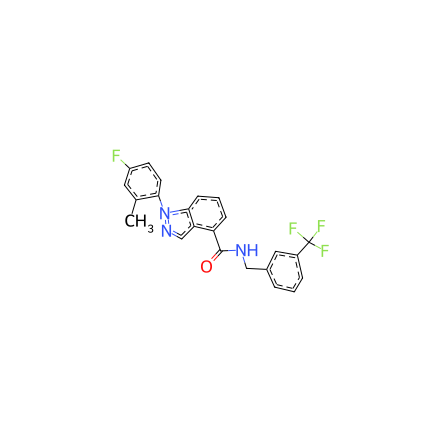 Cc1cc(F)ccc1-n1ncc2c(C(=O)NCc3cccc(C(F)(F)F)c3)cccc21